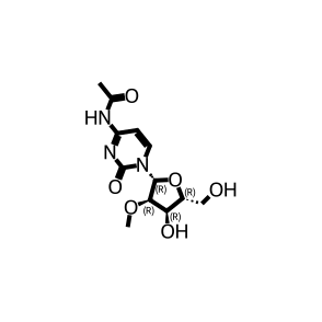 CO[C@@H]1[C@H](O)[C@@H](CO)O[C@H]1n1ccc(NC(C)=O)nc1=O